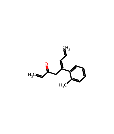 C=C/C=C(/CC(=O)C=C)c1ccccc1C